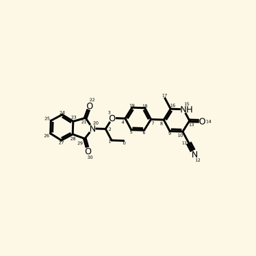 CCC(Oc1ccc(-c2cc(C#N)c(=O)[nH]c2C)cc1)N1C(=O)c2ccccc2C1=O